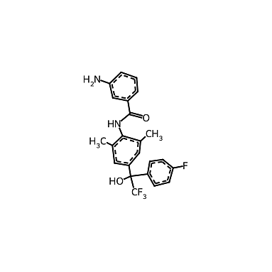 Cc1cc(C(O)(c2ccc(F)cc2)C(F)(F)F)cc(C)c1NC(=O)c1cccc(N)c1